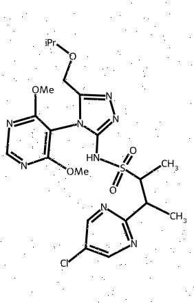 COc1ncnc(OC)c1-n1c(COC(C)C)nnc1NS(=O)(=O)C(C)C(C)c1ncc(Cl)cn1